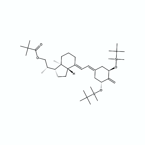 C=C1[C@H](O[Si](C)(C)C(C)(C)C)CC(=C/C=C2\CCC[C@]3(C)[C@@H]([C@H](C)COC(=O)C(C)(C)C)CC[C@@H]23)C[C@H]1O[Si](C)(C)C(C)(C)C